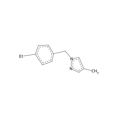 CCc1ccc(Cn2cc(C)cn2)cc1